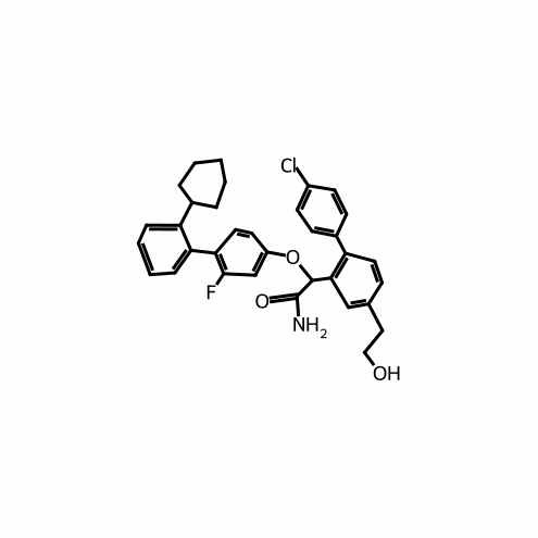 NC(=O)C(Oc1ccc(-c2ccccc2C2CCCCC2)c(F)c1)c1cc(CCO)ccc1-c1ccc(Cl)cc1